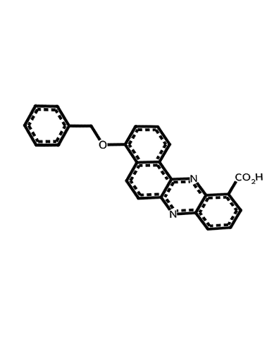 O=C(O)c1cccc2nc3ccc4c(OCc5ccccc5)cccc4c3nc12